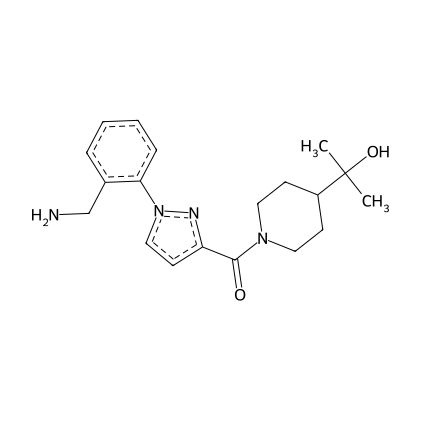 CC(C)(O)C1CCN(C(=O)c2ccn(-c3ccccc3CN)n2)CC1